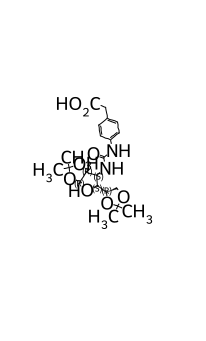 CC1(C)O[C@H]2O[C@H]([C@H]3COC(C)(C)O3)[C@H](NC(=O)Nc3ccc(CC(=O)O)cc3)[C@H]2O1